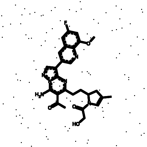 COc1cc(F)cc2cc(-c3cnn4c(N)c(C(C)=O)c(CCC5CC(C)=CN5C(=O)CO)nc34)cnc12